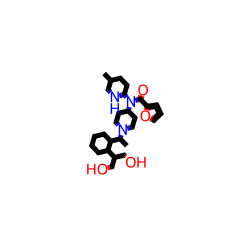 CC1CCC(N(C(=O)c2ccco2)C2CCN(C(C)C3CCCCC3C(CO)CO)CC2)NC1